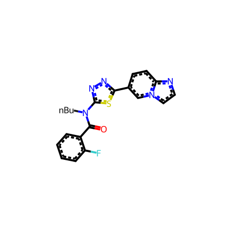 CCCCN(C(=O)c1ccccc1F)c1nnc(-c2ccc3nccn3c2)s1